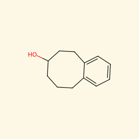 OC1CCCc2ccccc2CC1